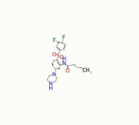 CCCCC(=O)Nc1cc(N2CCNCC2)ccc1S(=O)(=O)c1ccc(F)c(F)c1